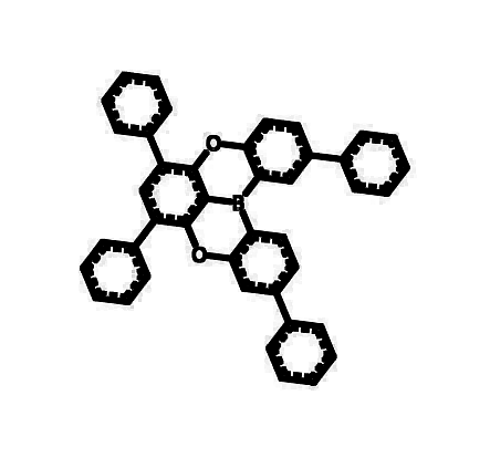 c1ccc(-c2ccc3c(c2)Oc2c(-c4ccccc4)cc(-c4ccccc4)c4c2B3c2cc(-c3ccccc3)ccc2O4)cc1